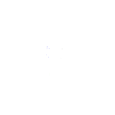 CC(C)c1c(OCCF)ncnc1C1CC1